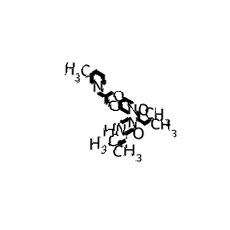 CC(C)CC(C(=O)N1CCC2(CC1)OCC(CN1CCC[C@@H](C)C1)CO2)N1CCN[C@@H](CC(C)C)C1=O